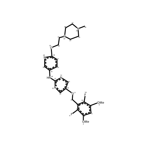 COc1cc(OC)c(F)c(COc2cnc(Nc3ccc(OCCN4CCN(C)CC4)nc3)nc2)c1F